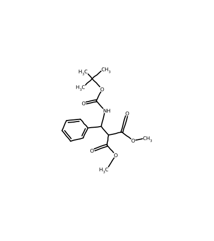 COC(=O)C(C(=O)OC)C(NC(=O)OC(C)(C)C)c1ccccc1